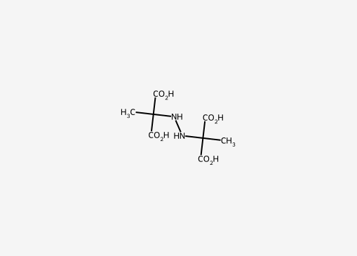 CC(NNC(C)(C(=O)O)C(=O)O)(C(=O)O)C(=O)O